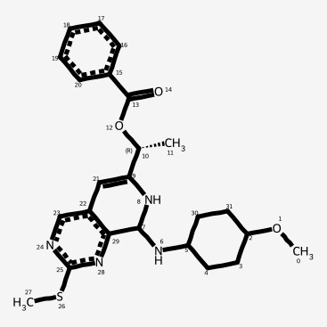 COC1CCC(NC2NC([C@@H](C)OC(=O)c3ccccc3)=Cc3cnc(SC)nc32)CC1